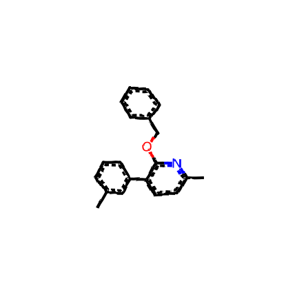 Cc1cccc(-c2ccc(C)nc2OCc2ccccc2)c1